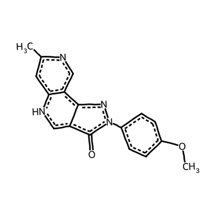 COc1ccc(-n2nc3c4cnc(C)cc4[nH]cc-3c2=O)cc1